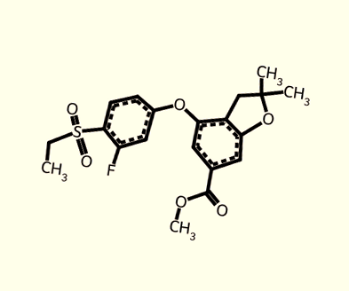 CCS(=O)(=O)c1ccc(Oc2cc(C(=O)OC)cc3c2CC(C)(C)O3)cc1F